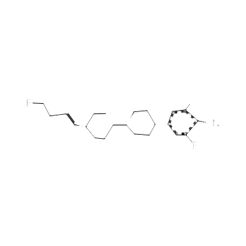 N#Cc1c(F)cc([C@H]2CC[C@H]([C@H]3CC[C@H](C=CCCF)CC3)CC2)cc1F